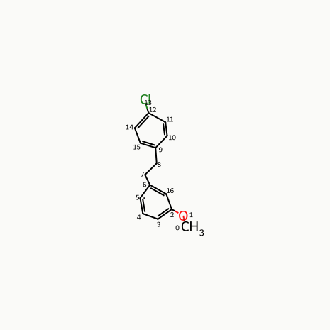 COc1cc[c]c(CCc2ccc(Cl)cc2)c1